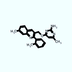 Cc1ccc2cc(COc3cc(C)nc(N)n3)c(-c3ccccc3C)nc2c1